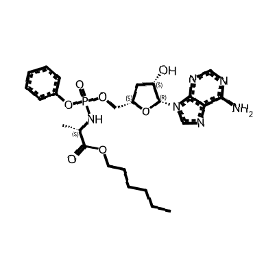 CCCCCCOC(=O)[C@H](C)NP(=O)(OC[C@@H]1C[C@H](O)[C@H](n2cnc3c(N)ncnc32)O1)Oc1ccccc1